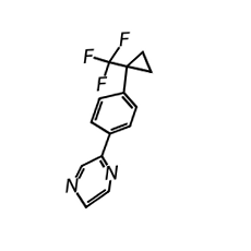 FC(F)(F)C1(c2ccc(-c3cnccn3)cc2)CC1